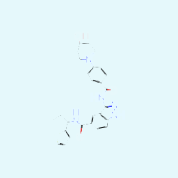 CCC(NC(=O)c1ccc2[nH]nc(NC(=O)c3ccc(N4CCC(O)CC4)cc3)c2c1)c1cccs1